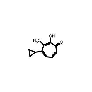 Cc1c(C2CC2)cccc(=O)c1O